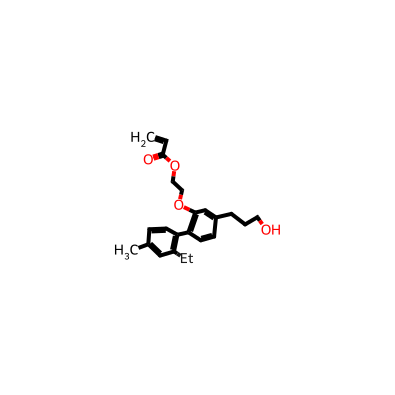 C=CC(=O)OCCOc1cc(CCCO)ccc1-c1ccc(C)cc1CC